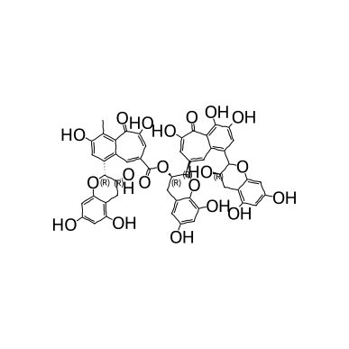 Cc1c(O)cc([C@H]2Oc3cc(O)cc(O)c3C[C@H]2O)c2cc(C(=O)O[C@@H]3Cc4cc(O)cc(O)c4O[C@@H]3c3cc(O)c(=O)c4c(O)c(O)cc(C5Oc6cc(O)cc(O)c6C[C@H]5O)c4c3)cc(O)c(=O)c12